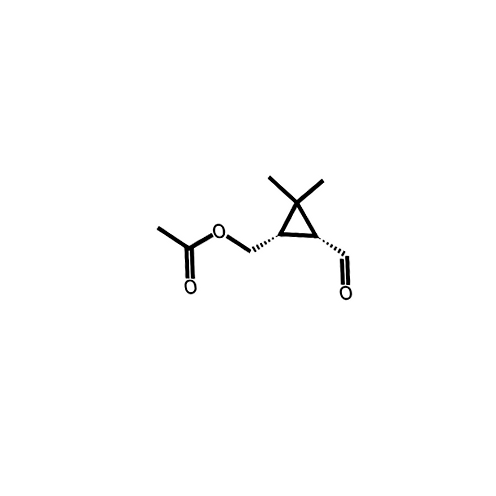 CC(=O)OC[C@H]1[C@@H](C=O)C1(C)C